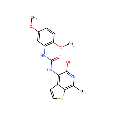 COc1ccc(OC)c(NC(=O)Nc2c(O)nc(C)c3sccc23)c1